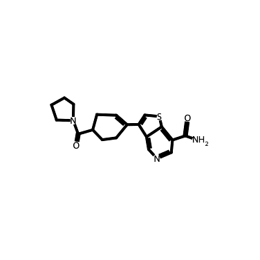 NC(=O)c1cncc2c(C3=CCC(C(=O)N4CCCC4)CC3)csc12